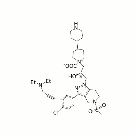 CCN(CC)CC#Cc1cc(-c2nn(C[C@@H](O)C[N+]3(C(=O)[O-])CCC(C4CCNCC4)CC3)c3c2CN(S(C)(=O)=O)CC3)ccc1Cl